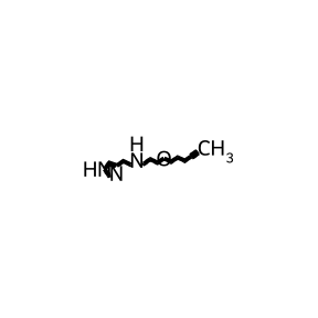 CC#CCCCOCCCNCCc1c[nH]cn1